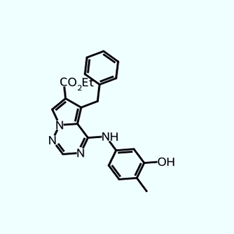 CCOC(=O)c1cn2ncnc(Nc3ccc(C)c(O)c3)c2c1Cc1ccccc1